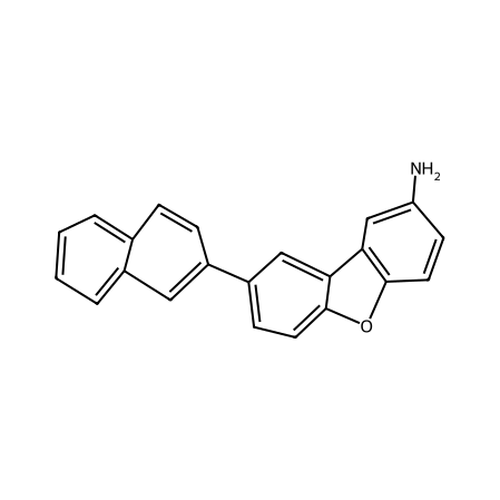 Nc1ccc2oc3ccc(-c4ccc5ccccc5c4)cc3c2c1